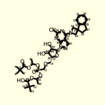 CC(OC(=O)C(C)(C)C)OP(=O)(COC[C@H]1O[C@@H](n2ncc3c(N4CC5(CCc6ccccc65)C4)nc(Cl)nc32)[C@H](O)[C@@H]1O)OC(C)OC(O)C(C)(C)C